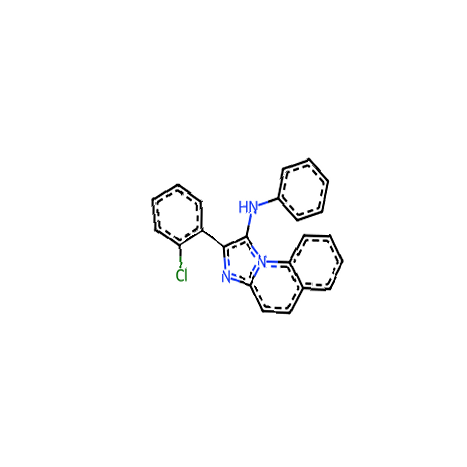 Clc1ccccc1-c1nc2ccc3ccccc3n2c1Nc1ccccc1